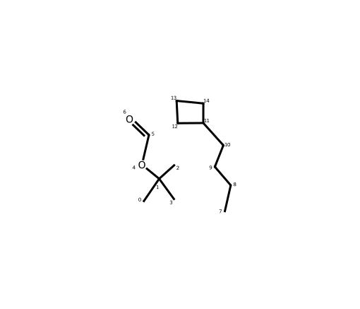 CC(C)(C)OC=O.CCCCC1CCC1